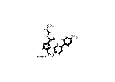 CCCCC[C@@H](Oc1ccc(-c2ccc(C(F)(F)F)cc2)cc1)c1ccc(C(=O)NCCC(=O)O)s1